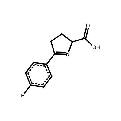 O=C(O)C1CCC(c2ccc(F)cc2)=N1